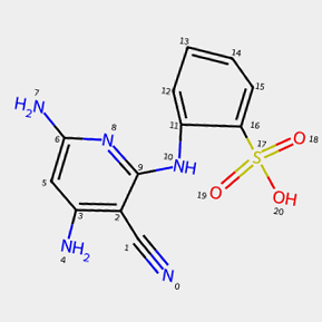 N#Cc1c(N)cc(N)nc1Nc1ccccc1S(=O)(=O)O